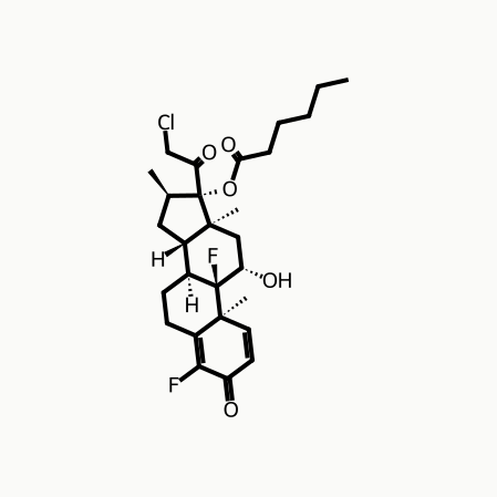 CCCCCC(=O)O[C@@]1(C(=O)CCl)[C@H](C)C[C@H]2[C@@H]3CCC4=C(F)C(=O)C=C[C@]4(C)[C@@]3(F)[C@@H](O)C[C@@]21C